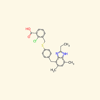 CCc1nc2c(Cc3ccc(SCc4cccc(C(=O)O)c4Cl)cc3)c(C)cc(C)c2[nH]1